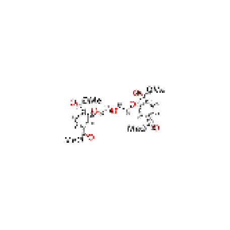 COC(=O)c1ccc(C(=O)OC)c(OCCOCCOc2cc(C(=O)OC)ccc2C(=O)OC)c1